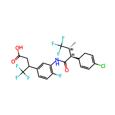 C[C@H]([C@H](C(=O)Nc1cc(C(CC(=O)O)C(F)(F)F)ccc1F)C1C=CC(Cl)=CC1)C(F)(F)F